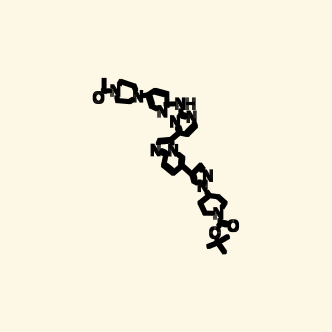 CC(=O)N1CCN(c2ccc(Nc3nccc(-c4cnc5ccc(-c6cnn(C7CCN(C(=O)OC(C)(C)C)CC7)c6)cn45)n3)nc2)CC1